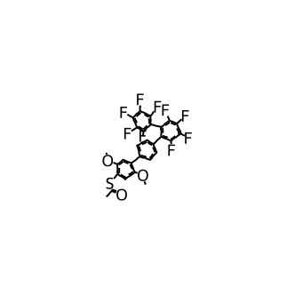 COc1cc(-c2ccc(-c3c(F)c(F)c(F)c(F)c3-c3c(F)c(F)c(F)c(F)c3F)cc2)c(OC)cc1SC(C)=O